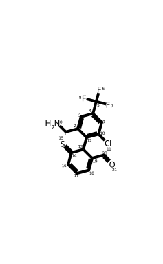 NCc1cc(C(F)(F)F)cc(Cl)c1C1C(=S)C=CC=C1C=O